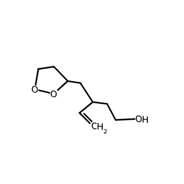 C=CC(CCO)CC1CCOO1